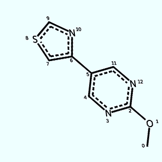 COc1ncc(-c2cscn2)cn1